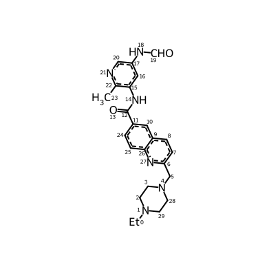 CCN1CCN(Cc2ccc3cc(C(=O)Nc4cc(NC=O)cnc4C)ccc3n2)CC1